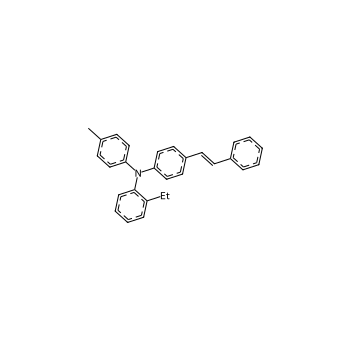 CCc1ccccc1N(c1ccc(C)cc1)c1ccc(C=Cc2ccccc2)cc1